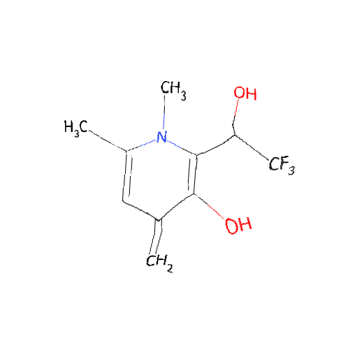 C=C1C=C(C)N(C)C(C(O)C(F)(F)F)=C1O